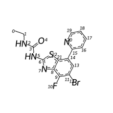 CCNC(=O)Nc1nc2c(F)c(Br)cc(-c3ccccn3)c2s1